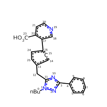 CCCCn1nc(-c2ccccc2)nc1Cc1ccc(-c2cnccc2C(=O)O)cc1